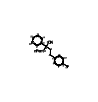 CCCCCC(C#N)(CCc1ccc(F)cc1)c1cccnc1